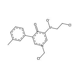 Cc1cccc(-c2cn(CCl)cc([S+]([O-])CCCl)c2=O)c1